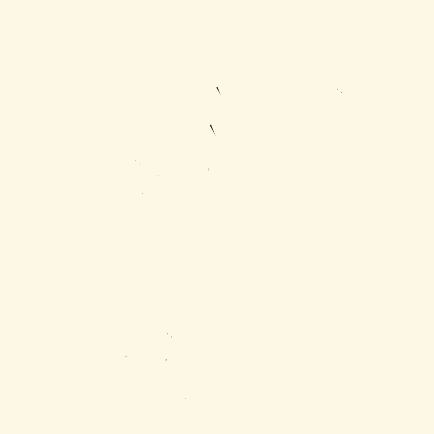 C[C@@H](COc1ccnc2c1[C@H](C)CCC2)C[C@H]1Cc2ccc(OCCCC(=O)NC34CC5CC(CC(C5)C3)C4)cc2C12CCC(Nc1cccc(Cl)c1)(C(=O)O)CC2